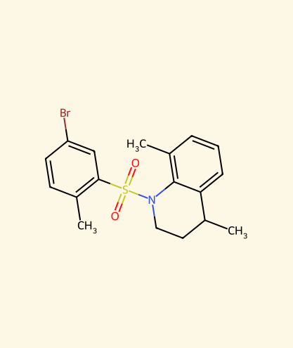 Cc1ccc(Br)cc1S(=O)(=O)N1CCC(C)c2cccc(C)c21